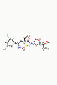 C=C[C@]1(C(=O)N[C@H]2CO[C@@H](C(=O)OC)C2)CC(c2cc(F)cc(F)c2)=NOS1